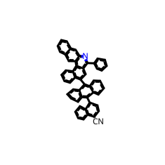 N#Cc1ccc(-c2c3ccccc3c(-c3cc4c(-c5ccccc5)nc5cc6ccccc6cc5c4c4ccccc34)c3ccccc23)c2ccccc12